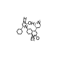 CCn1c(=O)cc(C2=CCN(C)CC2)c2cc(N3C(c4ccccc4)=CNC3O)ccc21